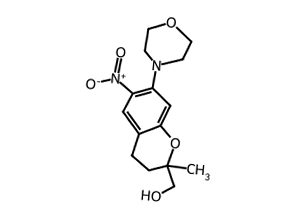 CC1(CO)CCc2cc([N+](=O)[O-])c(N3CCOCC3)cc2O1